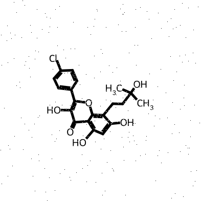 CC(C)(O)CCc1c(O)cc(O)c2c(=O)c(O)c(-c3ccc(Cl)cc3)oc12